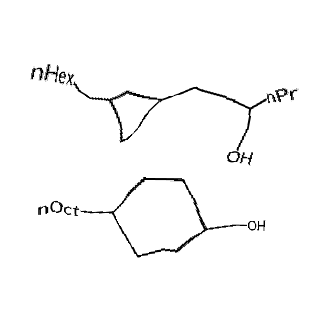 CCCCCCC1CC1CC(O)CCC.CCCCCCCCC1CCC(O)CC1